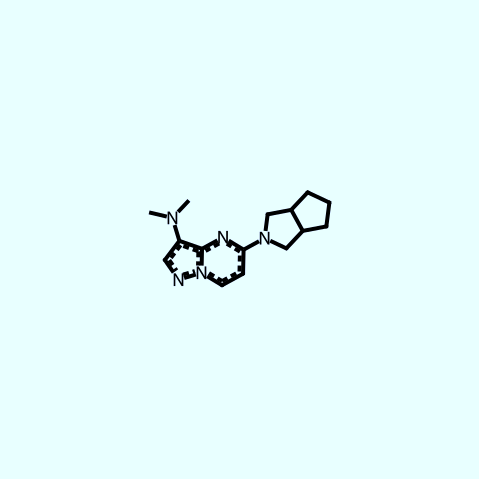 CN(C)c1cnn2ccc(N3CC4CCCC4C3)nc12